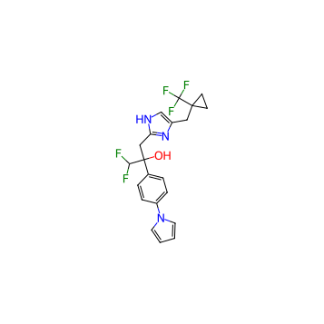 OC(Cc1nc(CC2(C(F)(F)F)CC2)c[nH]1)(c1ccc(-n2cccc2)cc1)C(F)F